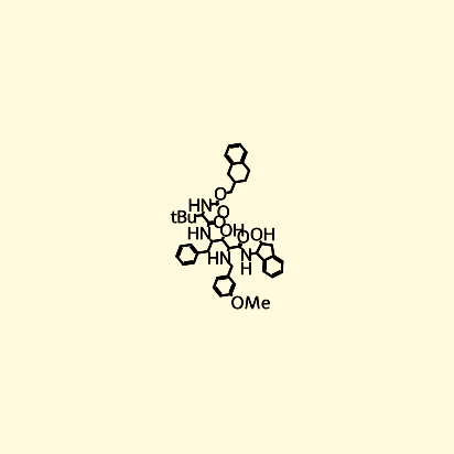 COc1cccc(CNC(C(=O)NC2c3ccccc3CC2O)C(O)C(Cc2ccccc2)NC(=O)C(NC(=O)OCC2CCc3ccccc3C2)C(C)(C)C)c1